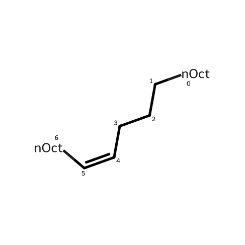 [CH2]CCCCCCCCCC/C=C\CCCCCCCC